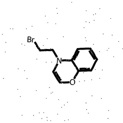 BrCCN1C=COc2ccccc21